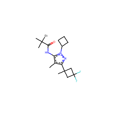 CCC(C)(C)C(=O)Nc1c(C)c(C2(C)CC(F)(F)C2)nn1C1CCC1